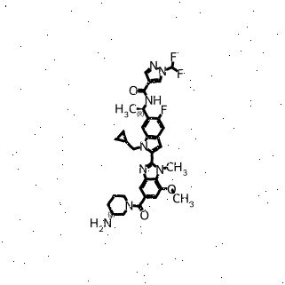 COc1cc(C(=O)N2CCC[C@@H](N)C2)cc2nc(-c3cc4cc(F)c([C@@H](C)NC(=O)c5cnn(C(F)F)c5)cc4n3CC3CC3)n(C)c12